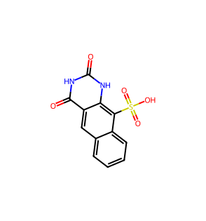 O=c1[nH]c(=O)c2cc3ccccc3c(S(=O)(=O)O)c2[nH]1